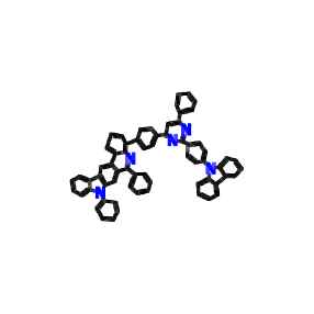 c1ccc(-c2cc(-c3ccc(-c4cccc5c4nc(-c4ccccc4)c4cc6c(cc45)c4ccccc4n6-c4ccccc4)cc3)nc(-c3ccc(-n4c5ccccc5c5ccccc54)cc3)n2)cc1